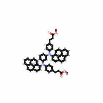 COC(=O)CCc1ccc(N(c2cccc(N(c3ccc(CCC(=O)OC)cc3)c3ccc4ccc5cccc6ccc3c4c56)c2)c2ccc3ccc4cccc5ccc2c3c45)cc1